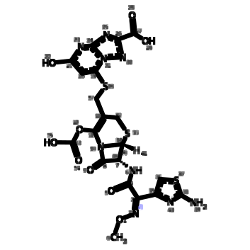 CO/N=C(\C(=O)N[C@@H]1C(=O)N2C(OC(=O)O)=C(CSc3cc(O)nc4nc(C(=O)O)nn34)CS[C@H]12)c1csc(N)n1